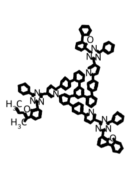 C/C=C\c1oc2c(-c3nc(-c4ccccc4)nc(-c4ccc(-c5ccc(-c6ccccc6-c6cc(-c7ccccc7-c7ccc(-c8ccc(-c9nc(-c%10ccccc%10)nc(-c%10cccc%11c%10oc%10ccccc%10%11)n9)cn8)cc7)cc(-c7ccccc7-c7ccc(-c8ccc(-c9nc(-c%10ccccc%10)nc(-c%10cccc%11c%10oc%10ccccc%10%11)n9)cn8)cc7)c6)cc5)nc4)n3)cccc2c1C